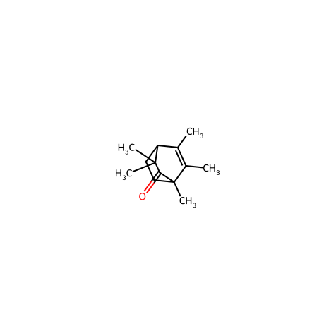 CC1=C(C)C2(C)CCC1C(C)(C)C2=O